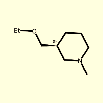 CCOC[C@H]1CCCN(C)C1